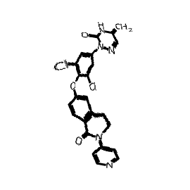 C=C1C=NN(c2cc(Cl)c(Oc3ccc4c(c3)CCN(c3ccncc3)C4=O)c(Cl)c2)C(=O)N1